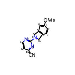 COc1ccc2c(c1)CN(c1nccc(C#N)n1)C2